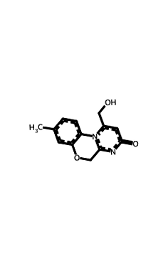 Cc1ccc2c(c1)OCc1nc(=O)cc(CO)n1-2